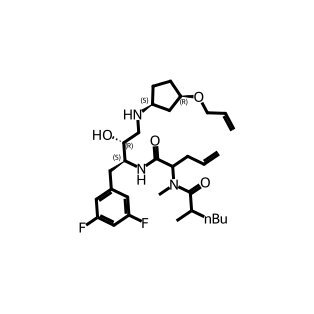 C=CCO[C@@H]1CC[C@H](NC[C@@H](O)[C@H](Cc2cc(F)cc(F)c2)NC(=O)C(CC=C)N(C)C(=O)C(C)CCCC)C1